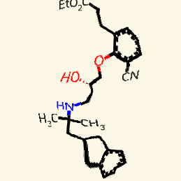 CCOC(=O)CCc1cccc(C#N)c1OC[C@@H](O)CNC(C)(C)CC1Cc2ccccc2C1